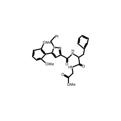 COC(=O)CNC(=O)C(Cc1ccccc1)NC(=O)c1cc(-c2c(OC)cccc2OC)n(CC(C)C)n1